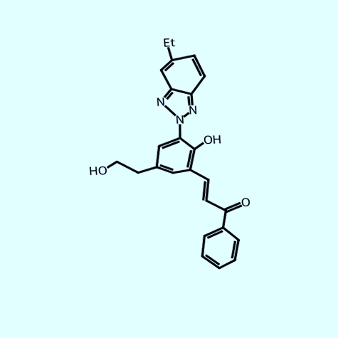 CCc1ccc2nn(-c3cc(CCO)cc(C=CC(=O)c4ccccc4)c3O)nc2c1